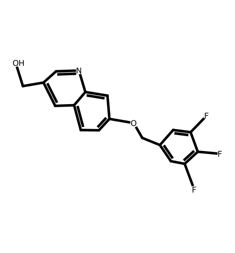 OCc1cnc2cc(OCc3cc(F)c(F)c(F)c3)ccc2c1